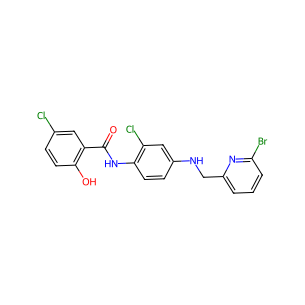 O=C(Nc1ccc(NCc2cccc(Br)n2)cc1Cl)c1cc(Cl)ccc1O